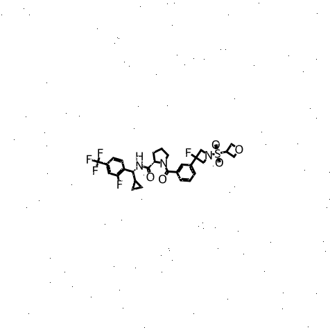 O=C(N[C@@H](c1ccc(C(F)(F)F)cc1F)C1CC1)[C@H]1CCCN1C(=O)c1cccc(C2(F)CN(S(=O)(=O)C3COC3)C2)c1